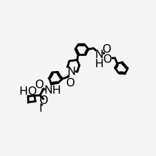 O=C(NCc1cccc(C2CCN(C(=O)c3cccc(NC(=O)C(OI)C4(O)CCC4)c3)CC2)c1)OCc1ccccc1